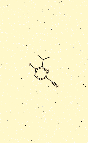 CC(C)c1nc(C#N)ccc1F